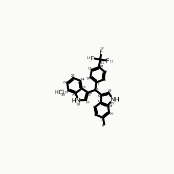 Cc1ccc2c([C](c3ccc(C(F)(F)F)cc3)c3c[nH]c4ccccc34)c[nH]c2c1.Cl